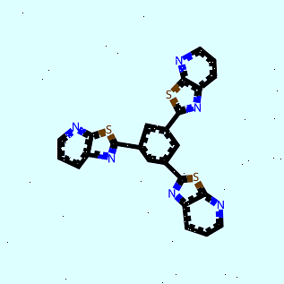 c1cnc2sc(-c3cc(-c4nc5cccnc5s4)cc(-c4nc5cccnc5s4)c3)nc2c1